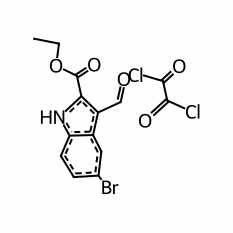 CCOC(=O)c1[nH]c2ccc(Br)cc2c1C=O.O=C(Cl)C(=O)Cl